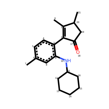 CC1=C(c2ccc(C)cc2NC2CCCCC2)C(=O)CC1C